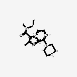 CON(C)C(=O)c1c(C)nc2c(N3CCOCC3)nccn12